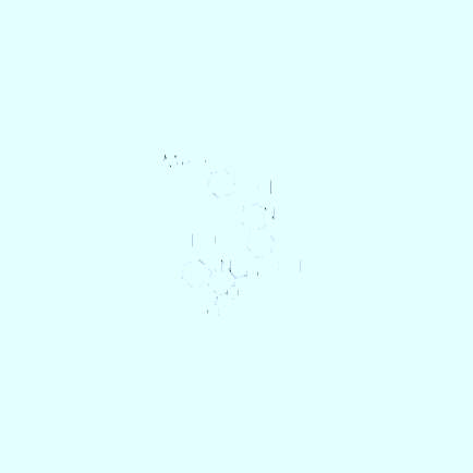 COc1ccc(-c2cc3c(C(C)n4c(=O)oc(=O)c5ccccc54)cc(C)cc3nc2Cl)cc1